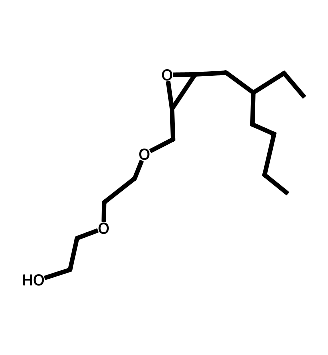 CCCCC(CC)CC1OC1COCCOCCO